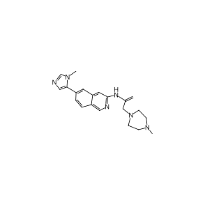 C=C(CN1CCN(C)CC1)Nc1cc2cc(-c3cncn3C)ccc2cn1